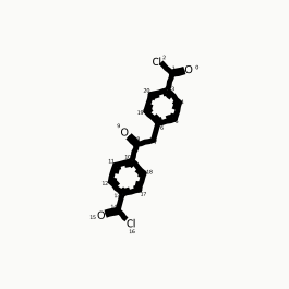 O=C(Cl)c1ccc(CC(=O)c2ccc(C(=O)Cl)cc2)cc1